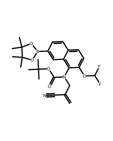 C=C(C#N)CN(C(=O)OC(C)(C)C)c1c(OC(F)F)ccc2ccc(B3OC(C)(C)C(C)(C)O3)cc12